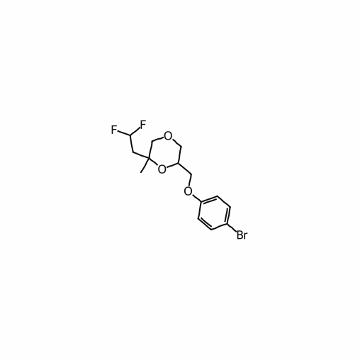 CC1(CC(F)F)COCC(COc2ccc(Br)cc2)O1